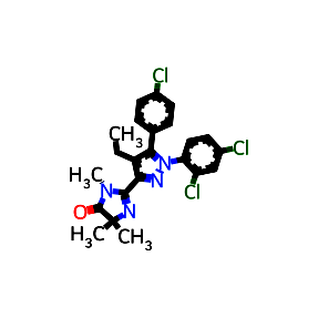 CCc1c(C2=NC(C)(C)C(=O)N2C)nn(-c2ccc(Cl)cc2Cl)c1-c1ccc(Cl)cc1